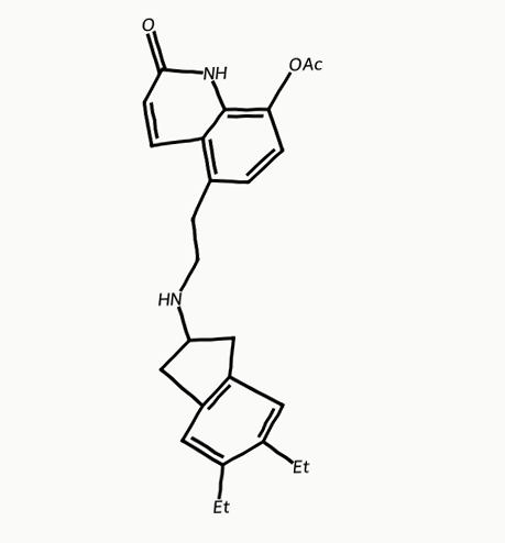 CCc1cc2c(cc1CC)CC(NCCc1ccc(OC(C)=O)c3[nH]c(=O)ccc13)C2